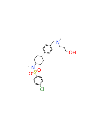 CN(CCCO)Cc1ccc([C@H]2CC[C@H](N(C)S(=O)(=O)c3ccc(Cl)cc3)CC2)cc1